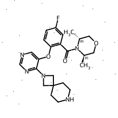 C[C@@H]1COC[C@@H](C)N1C(=O)c1cc(F)ccc1Oc1cncnc1N1CC2(CCNCC2)C1